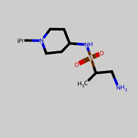 CC(C)N1CCC(NS(=O)(=O)C(C)CN)CC1